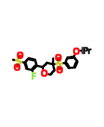 CC(C)Oc1cccc(S(=O)(=O)C2(C)CCOC(c3ccc(S(C)(=O)=O)cc3F)C2)c1